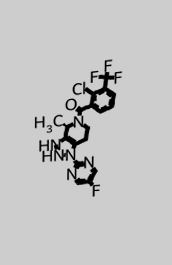 C[C@@H]1C2=C(CCN1C(=O)c1cccc(C(F)(F)F)c1Cl)N(c1ncc(F)cn1)NN2